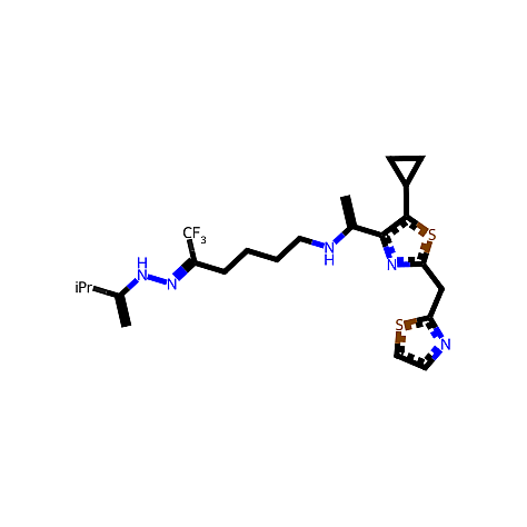 C=C(NCCCC/C(=N/NC(=C)C(C)C)C(F)(F)F)c1nc(Cc2nccs2)sc1C1CC1